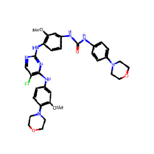 COc1cc(NC(=O)Nc2ccc(N3CCOCC3)cc2)ccc1Nc1ncc(Cl)c(Nc2ccc(N3CCOCC3)c(OC)c2)n1